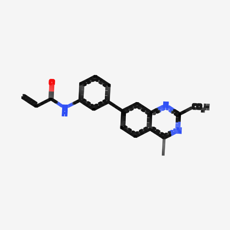 C=CC(=O)Nc1cccc(-c2ccc3c(C)nc(C(=O)O)nc3c2)c1